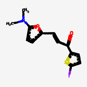 CN(C)c1ccc(C=CC(=O)c2ccc(I)s2)o1